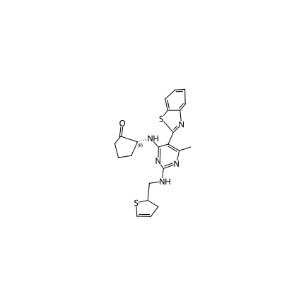 Cc1nc(NCC2CC=CS2)nc(N[C@@H]2CCCC2=O)c1-c1nc2ccccc2s1